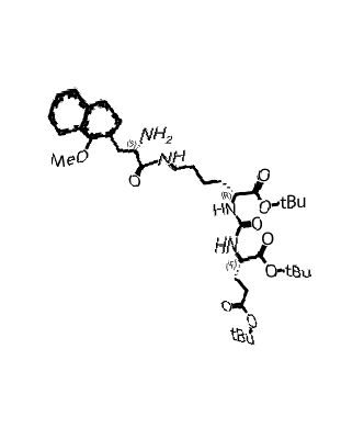 COc1c(C[C@H](N)C(=O)NCCCC[C@@H](NC(=O)N[C@@H](CCC(=O)OC(C)(C)C)C(=O)OC(C)(C)C)C(=O)OC(C)(C)C)ccc2ccccc12